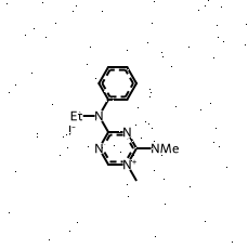 CCN(c1ccccc1)c1nc[n+](C)c(NC)n1.[I-]